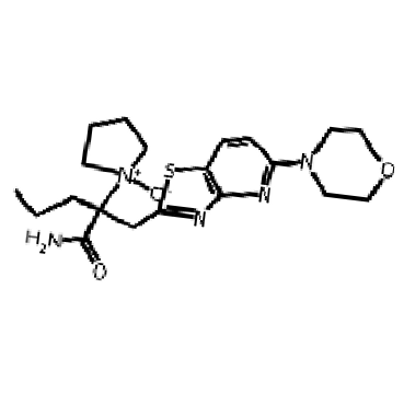 CCCC(Cc1nc2nc(N3CCOCC3)ccc2s1)(C(N)=O)[N+]1([O-])CCCC1